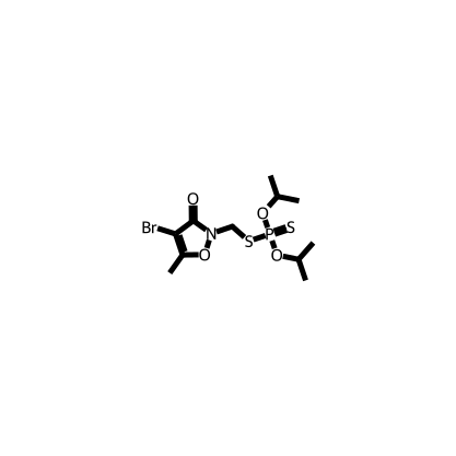 Cc1on(CSP(=S)(OC(C)C)OC(C)C)c(=O)c1Br